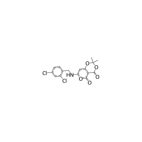 CC1(C)OC(=O)c2c(cc(NCc3ccc(Cl)cc3Cl)oc2=O)O1